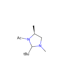 CC(=O)N1C(C(C)(C)C)N(C)C[C@@H]1C